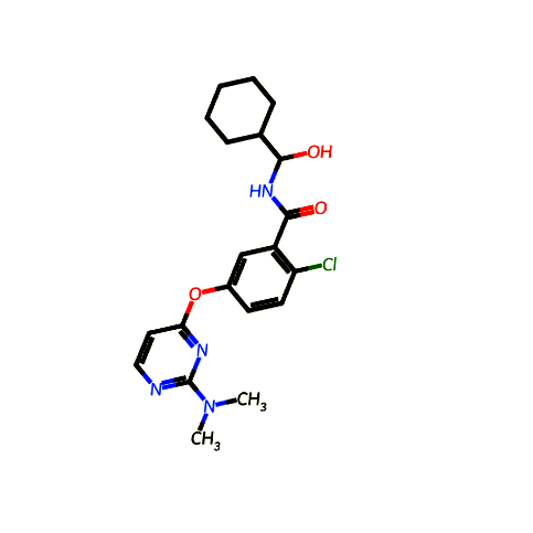 CN(C)c1nccc(Oc2ccc(Cl)c(C(=O)NC(O)C3CCCCC3)c2)n1